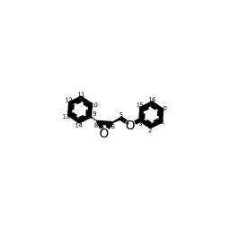 c1ccc(OC[C@H]2O[C@@H]2c2ccccc2)cc1